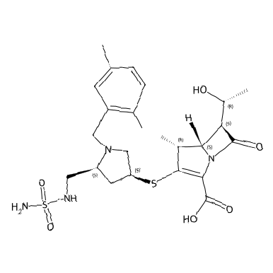 Cc1ccc(C)c(CN2C[C@@H](SC3=C(C(=O)O)N4C(=O)[C@H]([C@@H](C)O)[C@H]4[C@H]3C)C[C@H]2CNS(N)(=O)=O)c1